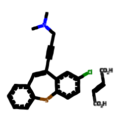 CN(C)CC#CC1=Cc2ccccc2Sc2ccc(Cl)cc21.O=C(O)C=CC(=O)O